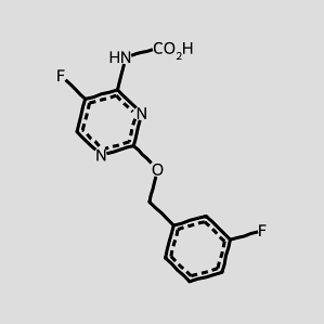 O=C(O)Nc1nc(OCc2cccc(F)c2)ncc1F